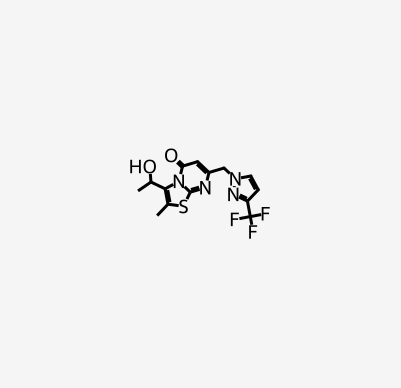 Cc1sc2nc(Cn3ccc(C(F)(F)F)n3)cc(=O)n2c1C(C)O